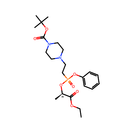 CCOC(=O)[C@@H](C)OP(=O)(CCN1CCN(C(=O)OC(C)(C)C)CC1)Oc1ccccc1